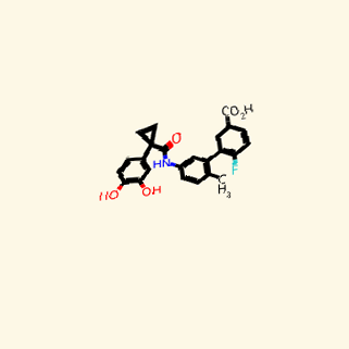 Cc1ccc(NC(=O)C2(c3ccc(O)c(O)c3)CC2)cc1C1=C(F)C=CC(C(=O)O)C1